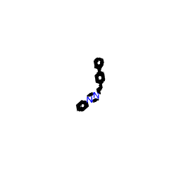 C(=Cc1ccc(-c2ccccc2)cc1)CN1CCN(c2ccccc2)CC1